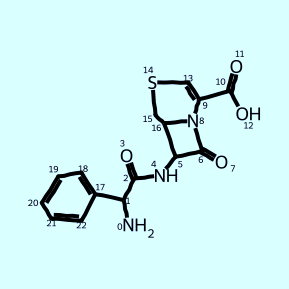 NC(C(=O)NC1C(=O)N2C(C(=O)O)=CSCC12)c1ccccc1